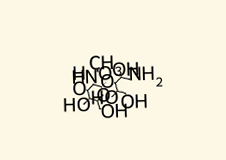 CC(=O)NC1[C@H](O[C@H](C(O)CO)[C@H](O)CN)OC(CO)[C@@H](O)[C@@H]1O